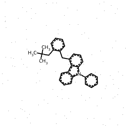 CC(C)(C)Cc1ccccc1Cc1cccc2c1c1ccccc1n2-c1ccccc1